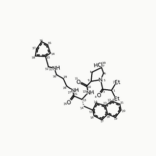 CCC(CC)C(=O)N1CCCC1C(=O)N[C@H](Cc1ccc2ccccc2c1)C(=O)NCCCNCc1ccccc1.Cl